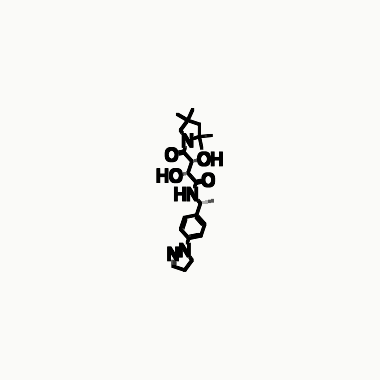 C[C@@H](NC(=O)[C@H](O)[C@@H](O)C(=O)N1CC(C)(C)CC1(C)C)c1ccc(N2CCC=N2)cc1